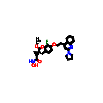 COC(=O)[C@@]1(Cc2ccc(OCCc3cc(N4CCCC4)nc4ccccc34)c(F)c2)CC1C(=O)NO